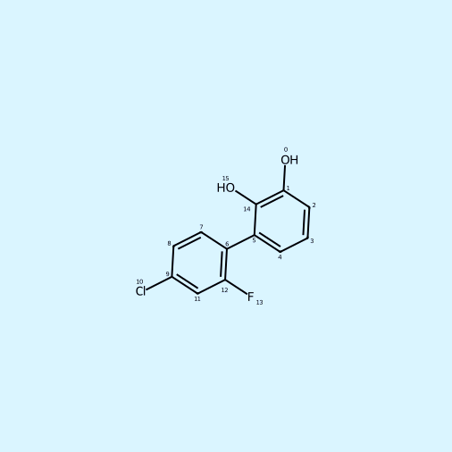 Oc1cccc(-c2ccc(Cl)cc2F)c1O